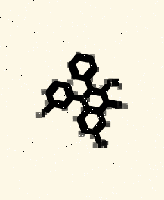 Cc1c(-c2ccccc2)n(-c2cccc(F)c2)c2ccc(C(C)C)cc2c1=O